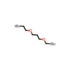 CC(C)(C)CCOCCCOCC(C)(C)C